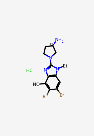 CCn1c(N2CC[C@@H](N)C2)nc2c(C#N)c(Br)c(Br)cc21.Cl